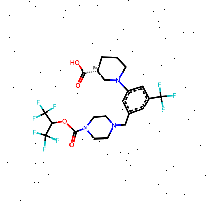 O=C(O)[C@@H]1CCCN(c2cc(CN3CCN(C(=O)OC(C(F)(F)F)C(F)(F)F)CC3)cc(C(F)(F)F)c2)C1